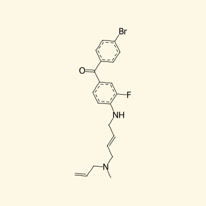 C=CCN(C)CC=CCNc1ccc(C(=O)c2ccc(Br)cc2)cc1F